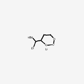 CCCCC(CC)C1CCOOO1.[Li]